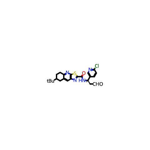 CC(C)(C)C1CCc2nc3sc(C(=O)N[C@H](CC=O)c4ccc(Cl)nc4)nc3cc2C1